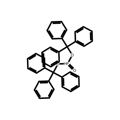 O=[PH](OC(c1ccccc1)(c1ccccc1)c1ccccc1)OC(c1ccccc1)(c1ccccc1)c1ccccc1